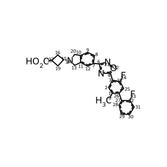 Cc1cc(-c2nc(-c3ccc4c(c3)CN([C@H]3C[C@H](C(=O)O)C3)C4)no2)c(F)cc1-c1ccccc1F